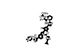 COC(=O)N[C@H](C(=O)N1CCCC[C@H]1c1ncc(-c2cc(F)c3c(c2)O[C@@H](c2cnc(C4CC4)s2)n2c-3cc3cc(-c4cnc([C@@H]5C[Si](C)(C)CN5)[nH]4)ccc32)[nH]1)C(C)C